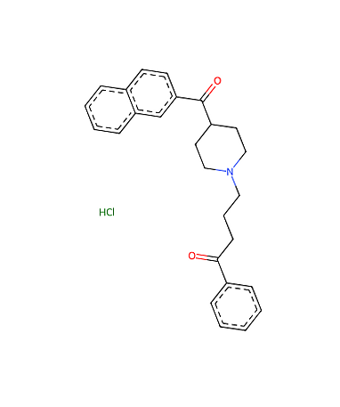 Cl.O=C(CCCN1CCC(C(=O)c2ccc3ccccc3c2)CC1)c1ccccc1